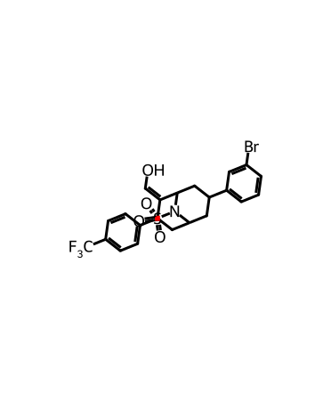 O=C1CC2CC(c3cccc(Br)c3)CC(/C1=C\O)N2S(=O)(=O)c1ccc(C(F)(F)F)cc1